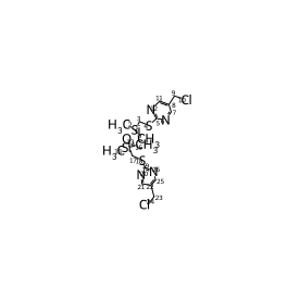 C[Si](C)(CSc1ncc(CCl)cn1)O[Si](C)(C)CSc1ncc(CCl)cn1